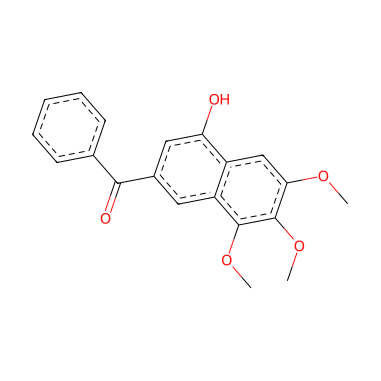 COc1cc2c(O)cc(C(=O)c3ccccc3)cc2c(OC)c1OC